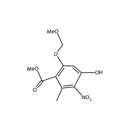 COCOc1cc(O)c([N+](=O)[O-])c(C)c1C(=O)OC